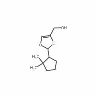 CC1(C)CCCC1C1OC=C(CO)O1